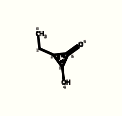 CCc1c(O)c1=O